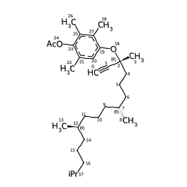 C#C[C@@](C)(CCC[C@H](C)CCC[C@H](C)CCCC(C)C)Oc1cc(C)c(OC(C)=O)c(C)c1C